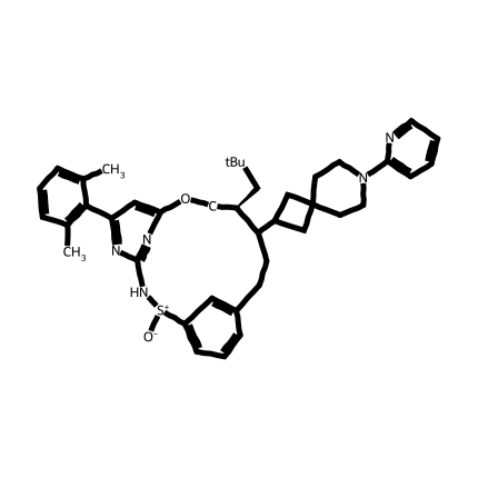 Cc1cccc(C)c1-c1cc2nc(n1)N[S+]([O-])c1cccc(c1)CCC(C1CC3(CCN(c4ccccn4)CC3)C1)[C@H](CC(C)(C)C)CO2